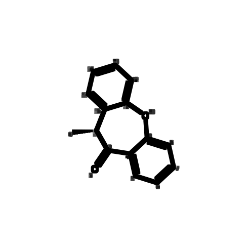 C[C@H]1C(=O)c2ccccc2Oc2ccccc21